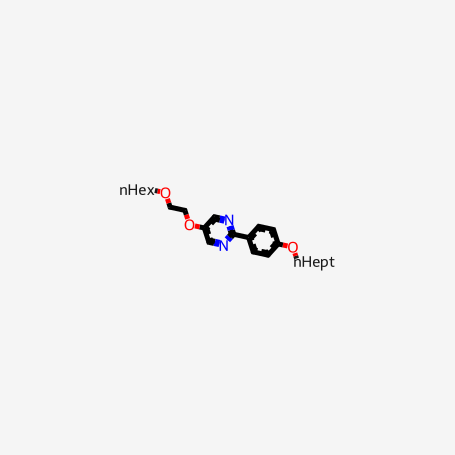 CCCCCCCOc1ccc(-c2ncc(OCCOCCCCCC)cn2)cc1